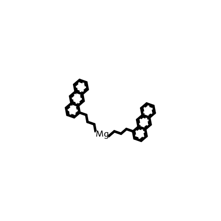 c1ccc2cc3c(CCC[CH2][Mg][CH2]CCCc4cccc5cc6ccccc6cc45)cccc3cc2c1